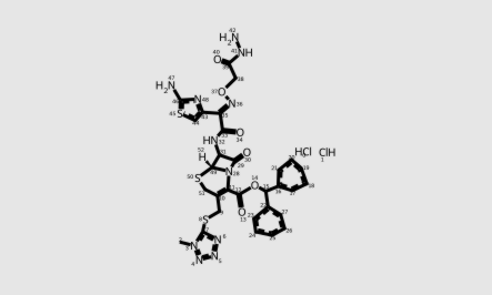 Cl.Cl.Cn1nnnc1SCC1=C(C(=O)OC(c2ccccc2)c2ccccc2)N2C(=O)C(NC(=O)/C(=N/OCC(=O)NN)c3csc(N)n3)[C@H]2SC1